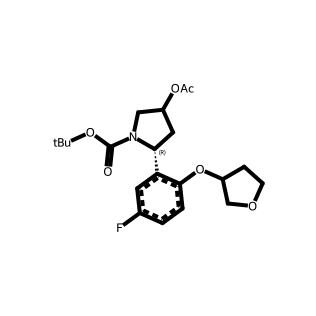 CC(=O)OC1C[C@H](c2cc(F)ccc2OC2CCOC2)N(C(=O)OC(C)(C)C)C1